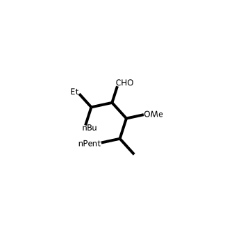 CCCCCC(C)C(OC)C(C=O)C(CC)CCCC